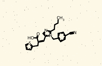 CCCCc1ncc(C=C(Cc2cccs2)C(=O)O)n1Cc1ccc(C#N)cc1